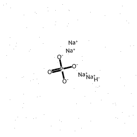 O=P([O-])([O-])[O-].[H-].[Na+].[Na+].[Na+].[Na+]